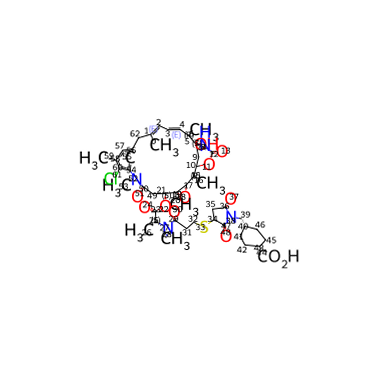 C/C1=C\C=C\[C@@H](C)[C@@]2(O)CC(OC(=O)N2)[C@@H](C)C2O[C@@]2(C)[C@@H](OC(=O)[C@H](C)N(C)C(=O)CCSC2CC(=O)N(C[C@H]3CC[C@H](C(=O)O)CC3)C2=O)CC(=O)N(C)c2cc(cc(C)c2Cl)C1